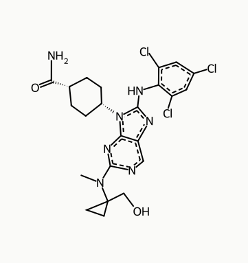 CN(c1ncc2nc(Nc3c(Cl)cc(Cl)cc3Cl)n([C@H]3CC[C@@H](C(N)=O)CC3)c2n1)C1(CO)CC1